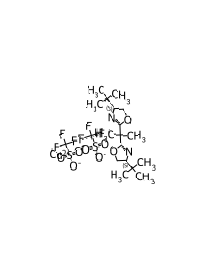 CC(C)(C1=N[C@@H](C(C)(C)C)CO1)C1=N[C@@H](C(C)(C)C)CO1.O=S(=O)([O-])C(F)(F)F.O=S(=O)([O-])C(F)(F)F.[Cu+2]